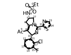 CCS(=O)(=O)N[C@H]1CC2=C(C(C)=O)[C@H](c3cccc(F)c3Cl)N=C(c3nccs3)N2C1